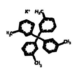 Cc1cccc([B-](c2cccc(C)c2)(c2cccc(C)c2)c2cccc(C)c2)c1.[K+]